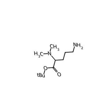 CN(C)C(CCCN)C(=O)OC(C)(C)C